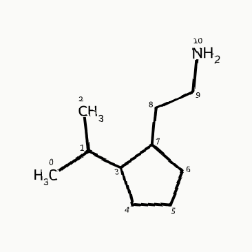 CC(C)C1CCCC1CCN